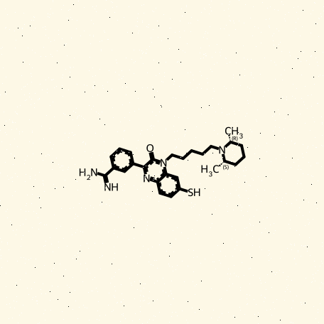 C[C@@H]1CCC[C@H](C)N1CCCCCn1c(=O)c(-c2cccc(C(=N)N)c2)nc2ccc(S)cc21